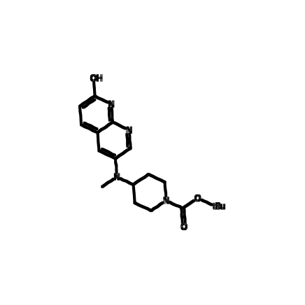 CN(c1cnc2nc(O)ccc2c1)C1CCN(C(=O)OC(C)(C)C)CC1